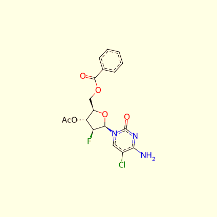 CC(=O)O[C@H]1[C@H](F)[C@H](n2cc(Cl)c(N)nc2=O)O[C@@H]1COC(=O)c1ccccc1